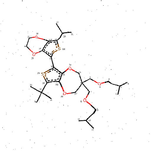 CC(C)COCC1(COCC(C)C)COc2c(-c3sc(C(C)C)c4c3OCCO4)sc(C(C)(C)C)c2OC1